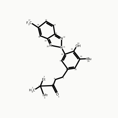 CCCC(C)(CC)C(=O)CCc1cc(-n2nc3ccc(C(F)(F)F)cc3n2)c(O)c(C(C)(C)C)c1